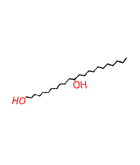 CCCCCCCCCCCC(O)CCCCCCCCCCCO